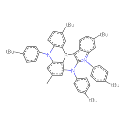 Cc1cc2c3c(c1)N(c1ccc(C(C)(C)C)cc1)c1c(c4ccc(C(C)(C)C)cc4n1-c1ccc(C(C)(C)C)cc1)B3c1cc(C(C)(C)C)ccc1N2c1ccc(C(C)(C)C)cc1